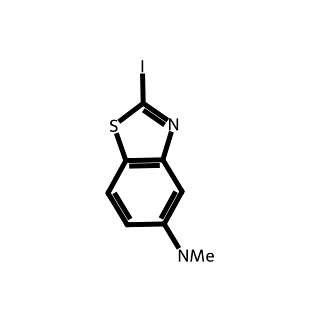 CNc1ccc2sc(I)nc2c1